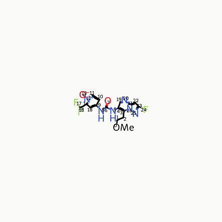 COCCc1c(NC(=O)Nc2cc[n+]([O-])c(C(F)F)c2)cnc2cc(F)nn12